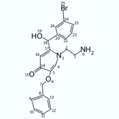 NCCn1cc(OCc2ccccc2)c(=O)cc1C(O)c1cccc(Br)c1